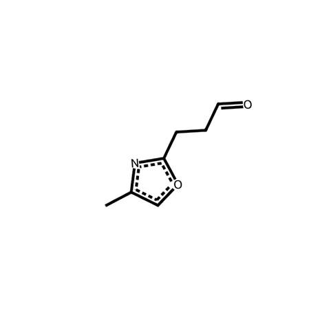 Cc1coc(CCC=O)n1